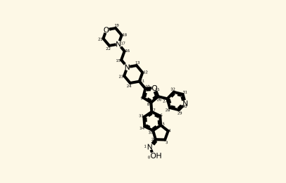 ON=C1CCc2cc(-c3cc(C4CCN(CCN5CCOCC5)CC4)oc3-c3ccncc3)ccc21